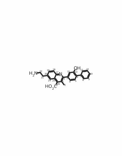 Cc1c(-c2ccc(-c3ccccc3)c(O)c2)nc2ccc(CCN)cc2c1C(=O)O